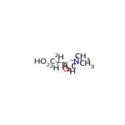 [2H]O[C@@H](C[N+](C)(C)C)C([2H])([2H])C(=O)O